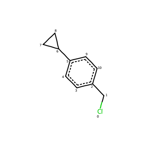 ClCc1ccc(C2CC2)cc1